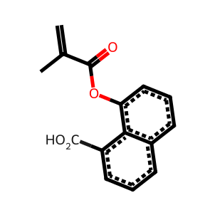 C=C(C)C(=O)Oc1cccc2cccc(C(=O)O)c12